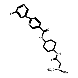 CC(C)(C)N(CC(=O)NC1CCC(NC(=O)c2ccc(-c3cccc(F)c3)nc2)CC1)C(=O)O